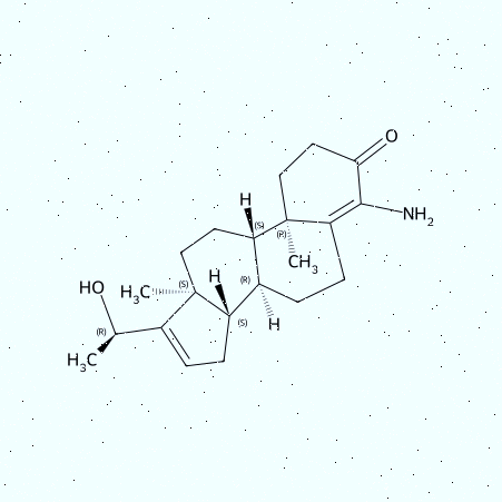 C[C@@H](O)C1=CC[C@H]2[C@@H]3CCC4=C(N)C(=O)CC[C@]4(C)[C@H]3CC[C@]12C